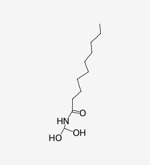 CCCCCCCCCC(=O)NC(O)O